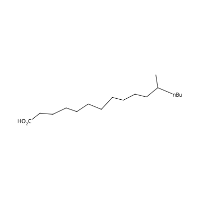 CCCCC(C)CCCCCCCCCCC(=O)O